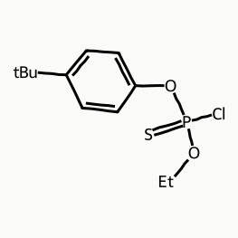 CCOP(=S)(Cl)Oc1ccc(C(C)(C)C)cc1